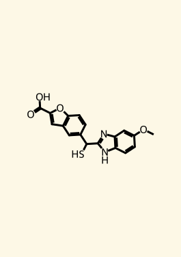 COc1ccc2[nH]c(C(S)c3ccc4oc(C(=O)O)cc4c3)nc2c1